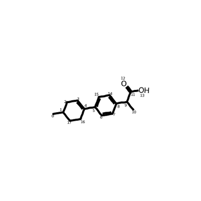 CC1CC=C(c2ccc(C(C)C(=O)O)cc2)CC1